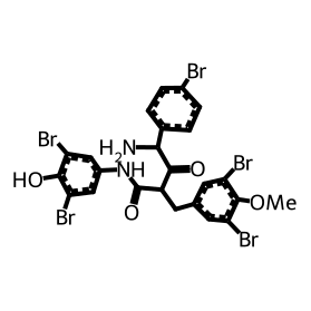 COc1c(Br)cc(CC(C(=O)Nc2cc(Br)c(O)c(Br)c2)C(=O)C(N)c2ccc(Br)cc2)cc1Br